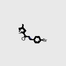 Cc1csc(C(=O)/C=C/c2ccc(Br)cc2)c1